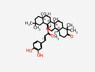 CC1(C)CC[C@]2(C(=O)O)CC[C@]3(COC(=O)/C=C/c4ccc(O)c(O)c4)C(=CCC4[C@@]5(C)CCC(=O)C(C)(C)C5CC[C@]43C)C2C1